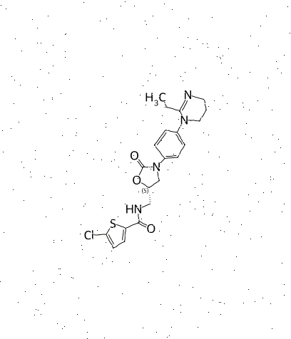 CCC1=NCCCN1c1ccc(N2C[C@H](CNC(=O)c3ccc(Cl)s3)OC2=O)cc1